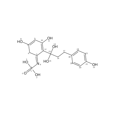 O=P(O)(O)N=C1CC(O)=CC(O)=C1C(O)(O)CCc1ccc(O)cc1